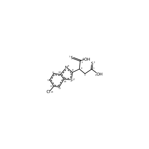 OC(=S)CC(C(O)=S)c1nc2ccc(Cl)cc2s1